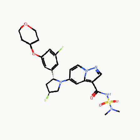 CN(C)S(=O)(=O)NC(=O)c1cnn2ccc(N3C[C@@H](F)C[C@@H]3c3cc(F)cc(OC4CCOCC4)c3)cc12